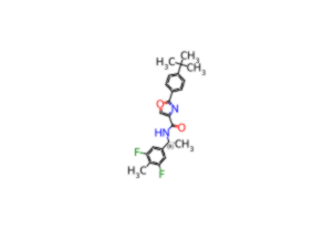 Cc1c(F)cc([C@@H](C)NC(=O)c2coc(-c3ccc(C(C)(C)C)cc3)n2)cc1F